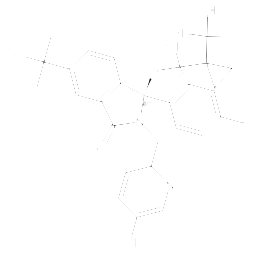 [2H]C([2H])(O)C1(C([2H])([2H])O[C@]2(c3ccc(F)cc3)c3ccc(C(C)(C)O)cc3C(=O)N2Cc2ccc(Cl)cn2)CC1